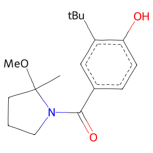 COC1(C)CCCN1C(=O)c1ccc(O)c(C(C)(C)C)c1